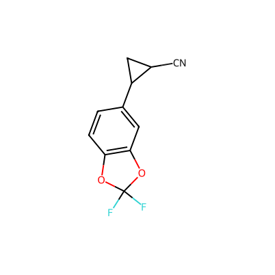 N#CC1CC1c1ccc2c(c1)OC(F)(F)O2